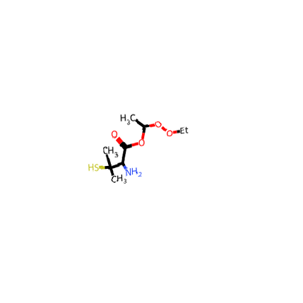 CCOOC(C)OC(=O)C(N)C(C)(C)S